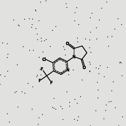 O=C1CCC(=O)N1c1cc(Cl)c(C(F)(F)F)cn1